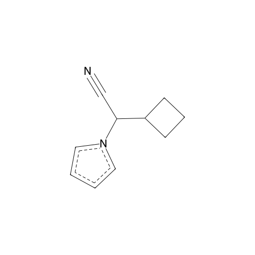 N#CC(C1CCC1)n1cccc1